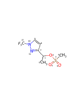 CC(OS(C)(=O)=O)c1ccn(C(F)(F)F)n1